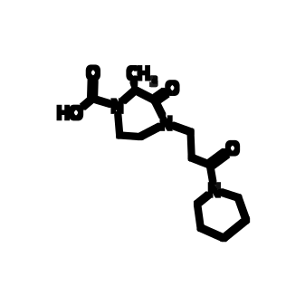 C[C@H]1C(=O)N(CCC(=O)N2CCCCC2)CCN1C(=O)O